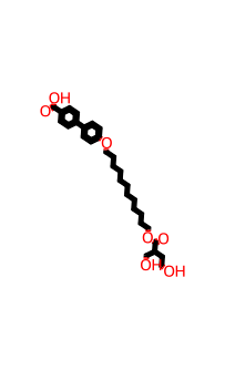 O=C(O)c1ccc(-c2ccc(OCCCCCCCCCCCCOC(=O)C(CO)CCO)cc2)cc1